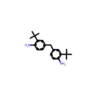 CC(C)(C)c1cc(Cc2ccc(N)c(C(C)(C)C)c2)ccc1N